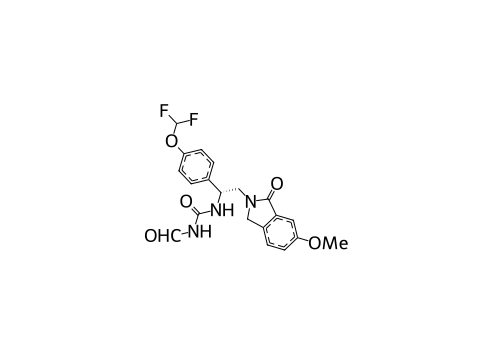 COc1ccc2c(c1)C(=O)N(C[C@H](NC(=O)NC=O)c1ccc(OC(F)F)cc1)C2